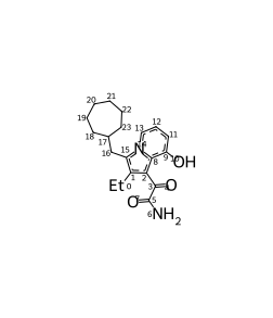 CCc1c(C(=O)C(N)=O)c2c(O)cccn2c1CC1CCCCCC1